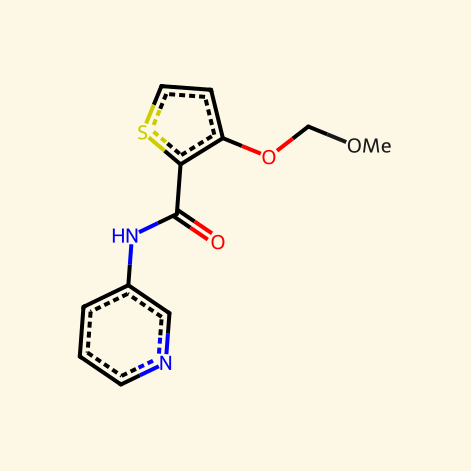 COCOc1ccsc1C(=O)Nc1cccnc1